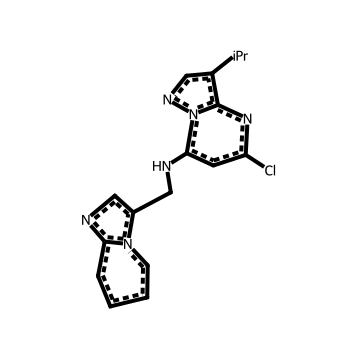 CC(C)c1cnn2c(NCc3cnc4ccccn34)cc(Cl)nc12